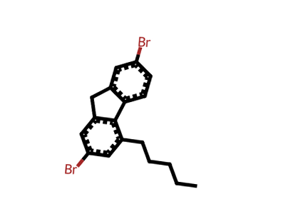 CCCCCc1cc(Br)cc2c1-c1ccc(Br)cc1C2